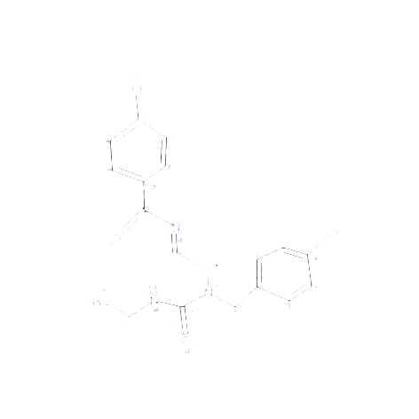 O=C(/N=C/SN(Cc1ccc(Cl)cc1)C(=O)NCO)c1ccc(Cl)cc1